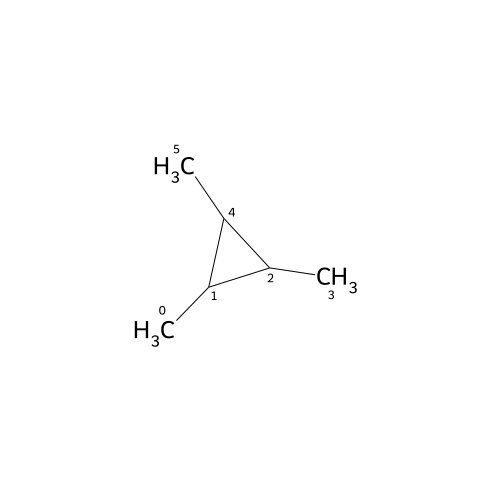 CC1C(C)C1C